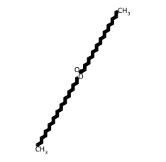 CCCCCCCCCCCCCCCCCCCCCCOC(=O)CCCCCCCCCCCCCCCCCCC